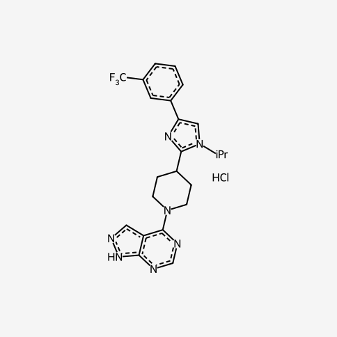 CC(C)n1cc(-c2cccc(C(F)(F)F)c2)nc1C1CCN(c2ncnc3[nH]ncc23)CC1.Cl